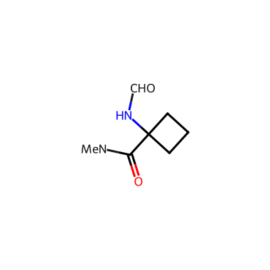 CNC(=O)C1(NC=O)CCC1